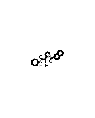 O=C(NC1CCCCCC1)C(O)C1CCCN1C(=O)c1ccc2ccccc2c1